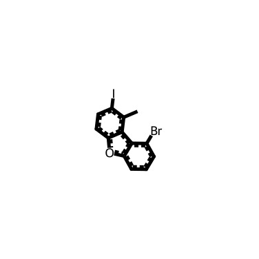 Cc1c(I)ccc2oc3cccc(Br)c3c12